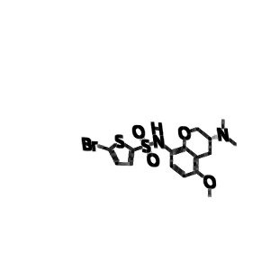 COc1ccc(NS(=O)(=O)c2ccc(Br)s2)c2c1C[C@@H](N(C)C)CO2